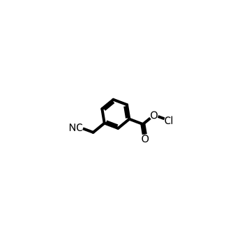 N#CCc1cccc(C(=O)OCl)c1